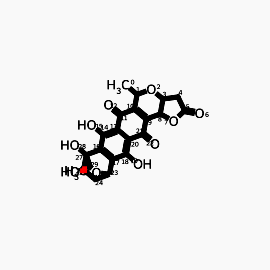 CC1OC2CC(=O)OC2C2=C1C(=O)c1c(O)c3c(c(O)c1C2=O)C1CC(O)C3(O)C(C)O1